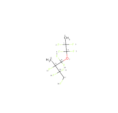 CC(F)(F)C(F)(F)OC(F)(F)C(C)(F)C(F)(F)CF